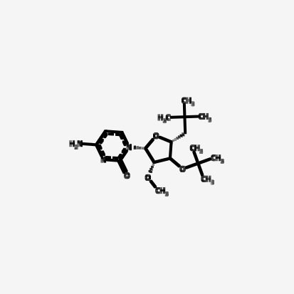 CO[C@H]1C(OC(C)(C)C)[C@@H](CC(C)(C)C)O[C@H]1n1ccc(N)nc1=O